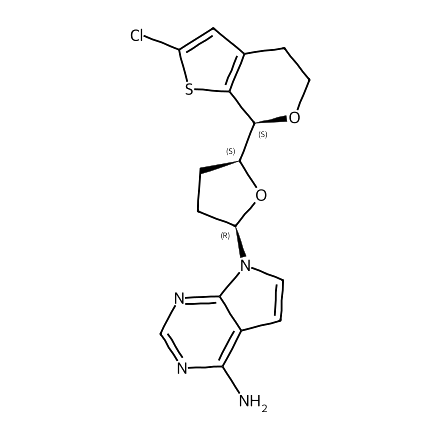 Nc1ncnc2c1ccn2[C@H]1CC[C@@H]([C@@H]2OCCc3cc(Cl)sc32)O1